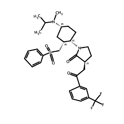 CC(C)N(C)[C@@H]1CC[C@H](N2CC[C@@H](CC(=O)c3cccc(C(F)(F)F)c3)C2=O)[C@H](CS(=O)(=O)c2ccccc2)C1